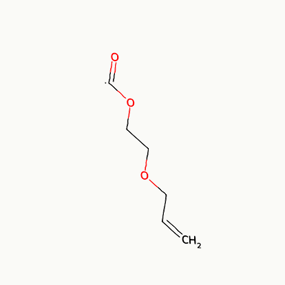 C=CCOCCO[C]=O